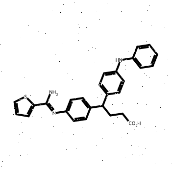 NC(=Nc1ccc(C(CCC(=O)O)c2ccc(Nc3ccccc3)cc2)cc1)c1cccs1